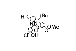 COC(=O)c1ccc([C@@H](CCC(C)(C)C)N2C(=O)C(c3ccc(Cl)c(O)c3Cl)=NC23CC=CC(C)C3)cc1